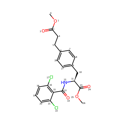 COC(=O)CCc1ccc(C[C@H](NC(=O)c2c(Cl)cccc2Cl)C(=O)OC)cc1